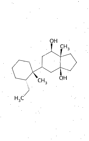 CC[C@@H]1CCCC[C@]1(C)C1C[C@@H](O)[C@]2(C)CCC[C@]2(O)C1